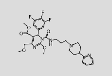 COCC1=C(C(=O)OC)C(c2cc(F)c(F)c(F)c2)N(C(=O)NCCCN2CCC(c3ccccn3)CC2)C(OC)=N1